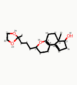 CC1(CCCC2CCC3=C(CCC4(C)C3=CCC4O)O2)OCCO1